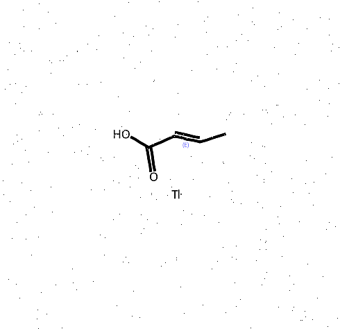 C/C=C/C(=O)O.[Tl]